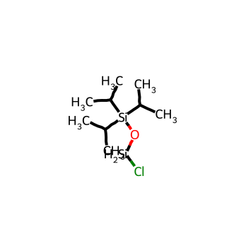 CC(C)[Si](O[SiH2]Cl)(C(C)C)C(C)C